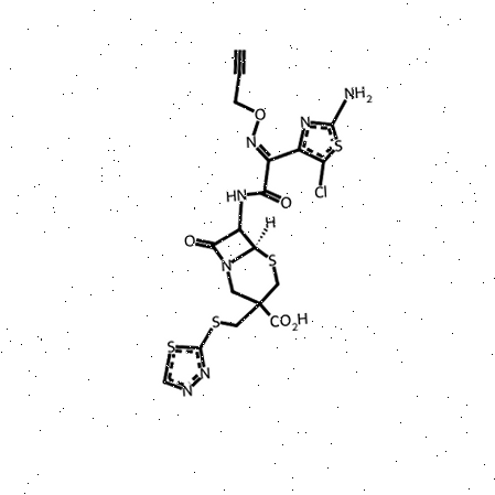 C#CCON=C(C(=O)NC1C(=O)N2CC(CSc3nncs3)(C(=O)O)CS[C@H]12)c1nc(N)sc1Cl